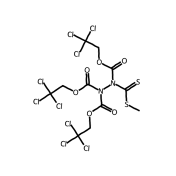 CSC(=S)N(C(=O)OCC(Cl)(Cl)Cl)N(C(=O)OCC(Cl)(Cl)Cl)C(=O)OCC(Cl)(Cl)Cl